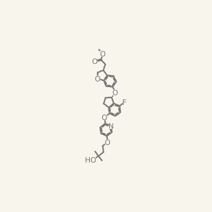 COC(=O)CC1COc2cc(O[C@@H]3CCc4c(Oc5ccc(OCCC(C)(C)O)cn5)ccc(F)c43)ccc21